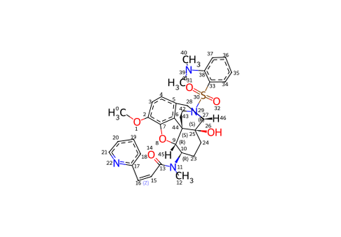 COc1ccc2c3c1O[C@H]1[C@H](N(C)C(=O)/C=C\c4ccccn4)CC[C@@]4(O)[C@@H](C2)N(S(=O)(=O)c2ccccc2N(C)C)CC[C@]314